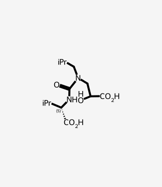 CC(C)CN(CC(O)C(=O)O)C(=O)N[C@H](C(=O)O)C(C)C